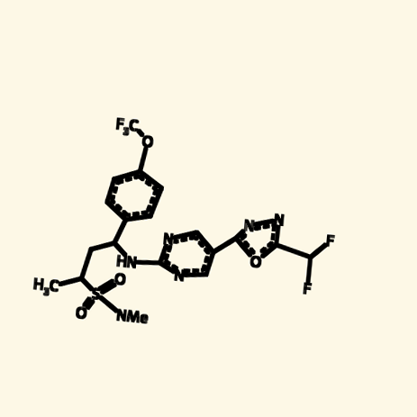 CNS(=O)(=O)C(C)CC(Nc1ncc(-c2nnc(C(F)F)o2)cn1)c1ccc(OC(F)(F)F)cc1